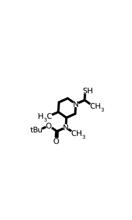 CC1CCN(C(C)S)CC1N(C)C(=O)OC(C)(C)C